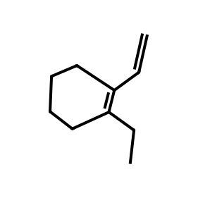 C=CC1=C(CC)CCCC1